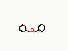 C1=CC[C@@H](COCc2ccccc2)C=C1